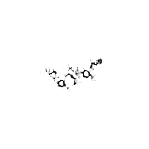 CNC[C@@H](COc1cc(Nc2nccc(NC)n2)ccc1OC)c1cc(NC)nc(Nc2ccc(OC)c(OC[C@H](C)CN3CCC3)c2)n1